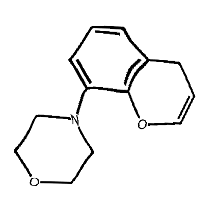 C1=COc2c(cccc2N2CCOCC2)C1